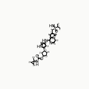 CC(C)S(=N)(=O)Cc1cc2c(Nc3cc([C@H]4CC[C@@H](OC(=O)NC5(C)CC5)C4)[nH]n3)nccn2n1